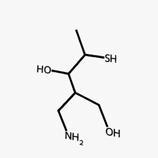 CC(S)C(O)C(CN)CO